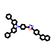 c1ccc(-c2ccc3c(c2)c2cc(-c4ccccc4)ccc2n3-c2ccc(-c3nnc(-c4ccc(-c5ccc6ccccc6c5)cc4)o3)cc2)cc1